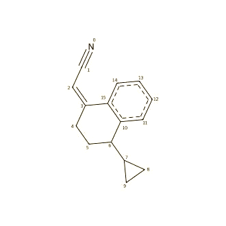 N#C/C=C1/CCC(C2CC2)c2ccccc21